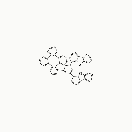 c1ccc2c(c1)-c1ccccc1-c1cccc(-c3cc(-c4cccc5c4oc4ccccc45)cc(-c4cccc5c4sc4ccccc45)c3)c1-c1ccccc1-2